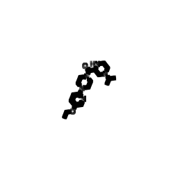 CCOc1ccc(N2CCN(C(=O)C3CN(C(C)C)CCN3)CC2)nc1